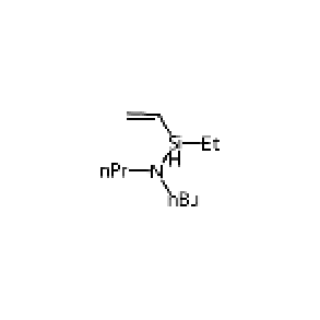 C=C[SiH](CC)N(CCC)CCCC